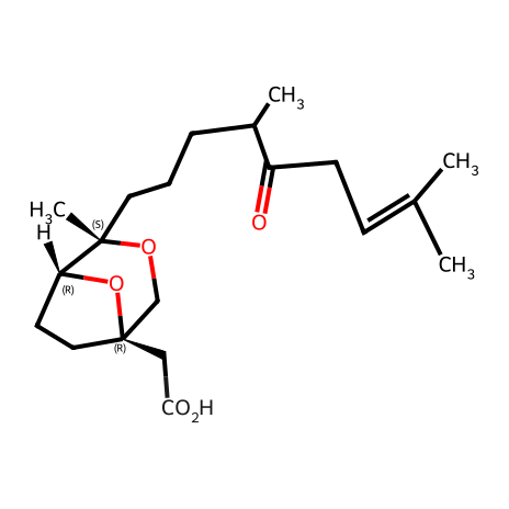 CC(C)=CCC(=O)C(C)CCC[C@]1(C)OC[C@]2(CC(=O)O)CC[C@H]1O2